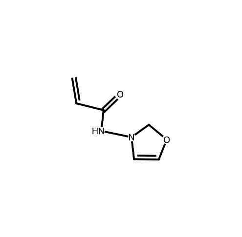 C=CC(=O)NN1C=COC1